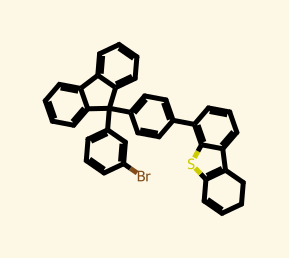 Brc1cccc(C2(c3ccc(-c4cccc5c6c(sc45)C=CCC6)cc3)c3ccccc3-c3ccccc32)c1